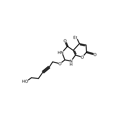 CCc1cc(=O)oc2c1C(=O)NC(OCC#CCCO)N2